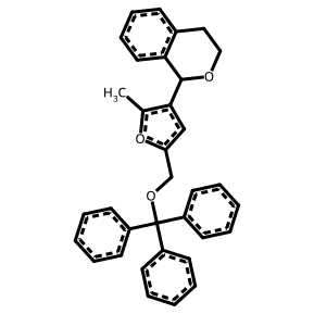 Cc1oc(COC(c2ccccc2)(c2ccccc2)c2ccccc2)cc1C1OCCc2ccccc21